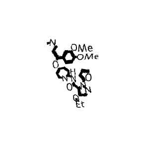 CCOc1cnn(-c2ccco2)c1C(=O)NC1=NCC=C(O/C(=C/C=N\C)c2ccc(OC)c(OC)c2)C=C1